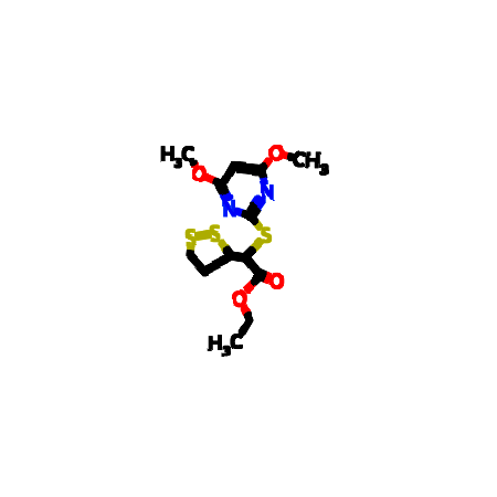 CCOC(=O)C(Sc1nc(OC)cc(OC)n1)C1CCSS1